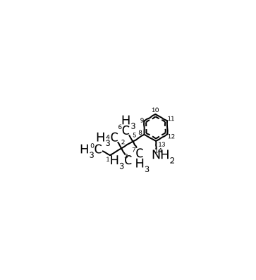 CCC(C)(C)C(C)(C)c1ccccc1N